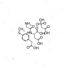 CSc1ccc(CC(=O)O)cc1.NCC(=O)NC(CC(=O)O)C(=O)O.O=C(O)CS(=O)(=O)O